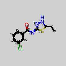 CCC1N[N]C(=NC(=O)c2cccc(Cl)c2)S1